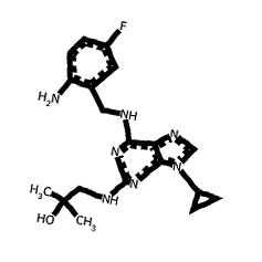 CC(C)(O)CNc1nc(NCc2cc(F)ccc2N)c2ncn(C3CC3)c2n1